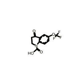 O=C1CCN(C(=O)O)c2ccc(OC(F)(F)F)cc21